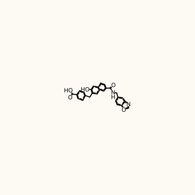 O=C(O)c1ccc(Cc2cc3cc(C(=O)NCc4ccc5ocnc5c4)ccc3cc2O)cc1